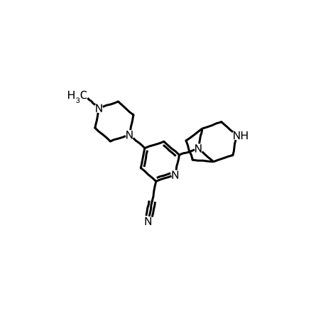 CN1CCN(c2cc(C#N)nc(N3C4CCC3CNC4)c2)CC1